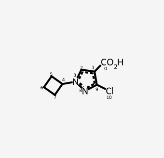 O=C(O)c1cn(C2CCC2)nc1Cl